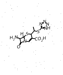 CC(Sc1nnn[nH]1)C1S[C@@H]2C(N)C(=O)N2C=C1C(=O)O